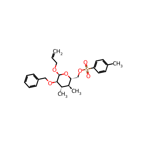 C=CCO[C@H]1O[C@H](COS(=O)(=O)c2ccc(C)cc2)[C@@H](C)[C@H](C)[C@H]1OCc1ccccc1